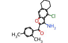 Cc1ccc(C(=O)c2oc3cc4c(c(Cl)c3c2N)CCCC4)c(C)c1